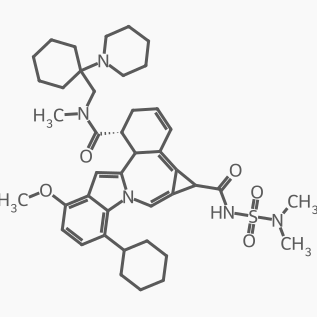 COc1ccc(C2CCCCC2)c2c1cc1n2C=C2C(=C3C=CC[C@@H](C(=O)N(C)CC4(N5CCCCC5)CCCCC4)C31)C2C(=O)NS(=O)(=O)N(C)C